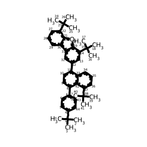 CC(C)(C)c1ccc(-c2ccc(-c3cc(C(C)(C)C)c4oc5c(C(C)(C)C)cccc5c4c3)c3cccc(C(C)(C)C)c23)cc1